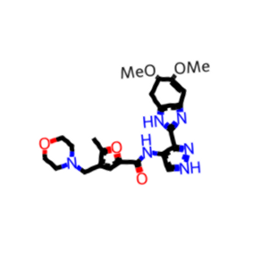 COC1=Cc2nc(-c3n[nH]cc3NC(=O)c3cc(CN4CCOCC4)c(C)o3)[nH]c2CC1OC